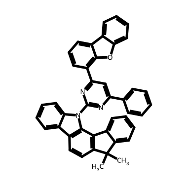 CC1(C)c2ccccc2-c2c1ccc1c3ccccc3n(-c3nc(-c4ccccc4)cc(-c4cccc5c4oc4ccccc45)n3)c21